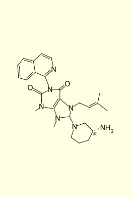 CC(C)=CCN1c2c(n(C)c(=O)n(-c3nccc4ccccc34)c2=O)N(C)C1N1CCC[C@@H](N)C1